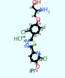 CC(C)Oc1ccc(-c2nnc(-c3cc(F)c(OCC(N)CO)cc3Cl)s2)nc1Cl.Cl